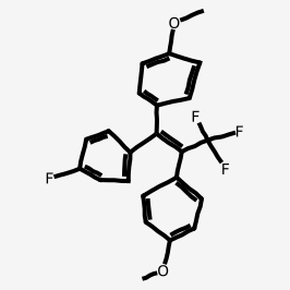 COc1ccc(C(=C(c2ccc(OC)cc2)C(F)(F)F)c2ccc(F)cc2)cc1